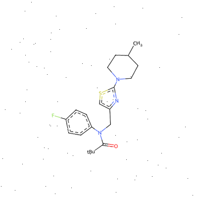 CC1CCN(c2nc(CN(C(=O)C(C)(C)C)c3ccc(F)cc3)cs2)CC1